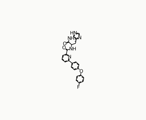 NC(=O)C(Cc1c[nH]cn1)NC(=O)c1cccc(-c2ccc(Oc3ccc(F)cc3)cc2)n1